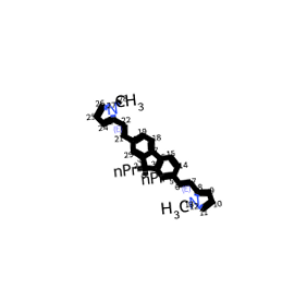 CCCC1(CCC)c2cc(/C=C/c3cccn3C)ccc2-c2ccc(/C=C/c3cccn3C)cc21